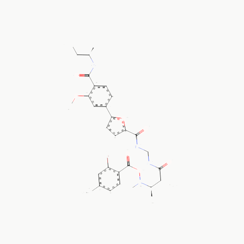 CCCCC[C@@H](C(=O)NCNC(=O)c1ccc(-c2ccc(C(=O)N[C@@H](CC(=O)O)C(=O)O)c(OCC)c2)o1)[C@@H](CC)N(C=O)OC(=O)c1ccc(OC)cc1Br